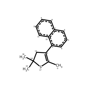 CC1=C(c2cccc3ccccc23)CC(C)(C)S1